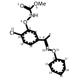 COC(=O)NOc1cc(/C(C)=N/Oc2ccccc2)ccc1Cl